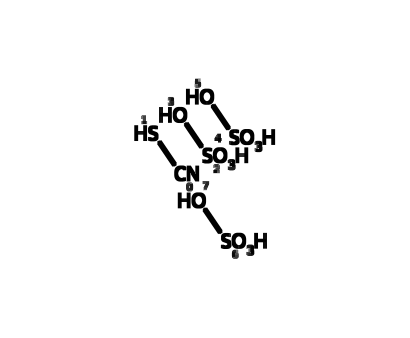 N#CS.O=S(=O)(O)O.O=S(=O)(O)O.O=S(=O)(O)O